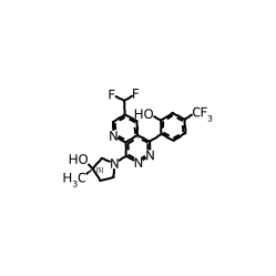 C[C@]1(O)CCN(c2nnc(-c3ccc(C(F)(F)F)cc3O)c3cc(C(F)F)cnc23)C1